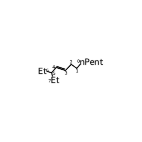 [CH2]CCCCCC/C=C/C(C[CH2])CC